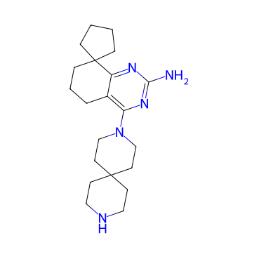 Nc1nc(N2CCC3(CCNCC3)CC2)c2c(n1)C1(CCCC1)CCC2